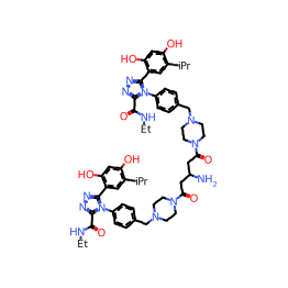 CCNC(=O)c1nnc(-c2cc(C(C)C)c(O)cc2O)n1-c1ccc(CN2CCN(C(=O)CC(N)CC(=O)N3CCN(Cc4ccc(-n5c(C(=O)NCC)nnc5-c5cc(C(C)C)c(O)cc5O)cc4)CC3)CC2)cc1